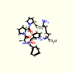 C[C@H](NP(=O)(Cc1ccccc1)Cc1ccccc1)C(=O)N1CCC[C@H]1C(=O)N1CCC[C@H]1C(=O)O.NCCCC[C@H](N)C(=O)O